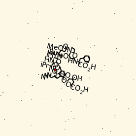 CCC(C)[C@@H]([C@@H](CC(=O)N1CCC[C@H]1[C@H](OC)[C@@H](C)C(=O)NC(Cc1ccccc1)C(=O)O)OC)N(C)C(=O)[C@@H](NC(=O)[C@H](C(C)C)N(C)C(=O)OCc1ccc(O[C@@H]2O[C@H](C(=O)O)C[C@H](O)[C@H]2O)c2cc(CN=[N+]=[N-])sc12)C(C)C